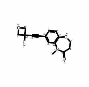 CN1C(=O)CCOc2ccc(C#CC3(F)COC3)cc21